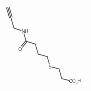 C#CCNC(=O)CCCSCCC(=O)O